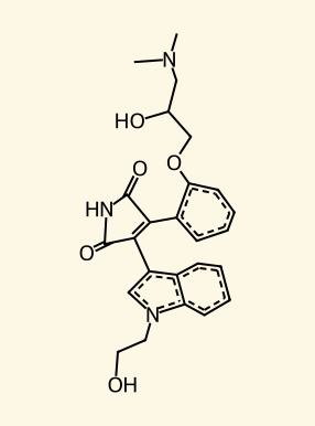 CN(C)CC(O)COc1ccccc1C1=C(c2cn(CCO)c3ccccc23)C(=O)NC1=O